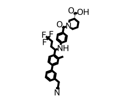 Cc1cc(-c2cccc(CC#N)c2)ccc1C(CCC(F)(F)F)Nc1ccc(C(=O)N2CCC[C@@H](C(=O)O)C2)cc1